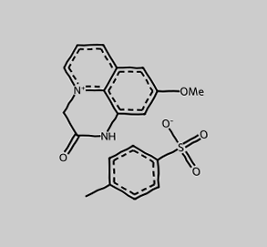 COc1cc2c3c(ccc[n+]3CC(=O)N2)c1.Cc1ccc(S(=O)(=O)[O-])cc1